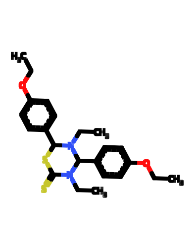 CCOc1ccc(C2SC(=S)N(CC)C(c3ccc(OCC)cc3)N2CC)cc1